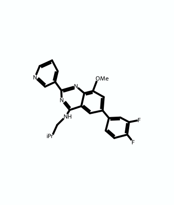 COc1cc(-c2ccc(F)c(F)c2)cc2c(NCC(C)C)nc(-c3cccnc3)nc12